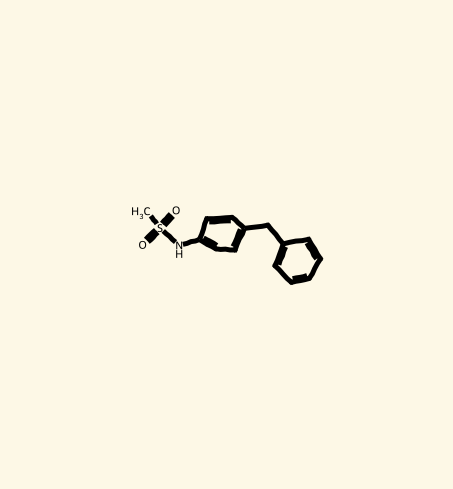 CS(=O)(=O)Nc1ccc(Cc2ccccc2)cc1